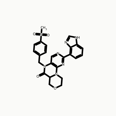 CS(=O)(=O)c1ccc(CN2C(=O)C3COCCN3c3nc(-c4cccc5[nH]cnc45)ncc32)cc1